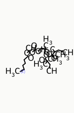 C#CCC(C)(C)C(=O)OCC(C)(COC(=O)OC(C)OC(=O)CCC/C=C\C)COC(=O)C(C)(C)CC#C